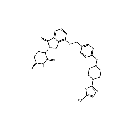 O=C1CCC(N2Cc3c(OCc4ccc(CN5CCN(c6nnc(C(F)(F)F)s6)CC5)cc4)cccc3C2=O)C(=O)N1